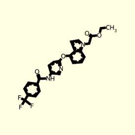 CCOC(=O)Cn1ccc2c(Oc3ccc(NC(=O)c4ccc(C(F)(F)F)cc4)cn3)cccc21